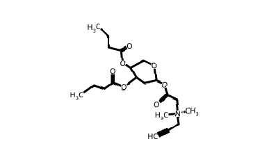 C#CC[N+](C)(C)CC(=O)OC1CC(OC(=O)CCC)C(OC(=O)CCC)CO1